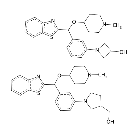 CN1CCC(OC(c2cccc(N3CC(O)C3)c2)c2nc3ccccc3s2)CC1.CN1CCC(OC(c2cccc(N3CCC(CO)C3)c2)c2nc3ccccc3s2)CC1